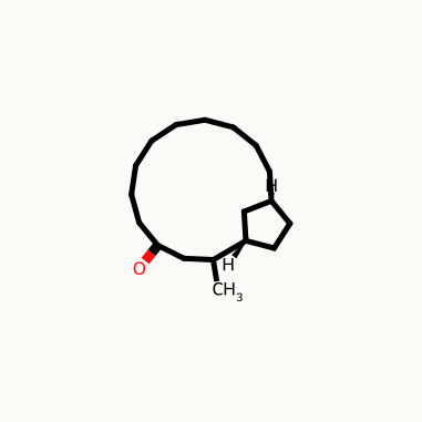 CC1CC(=O)CCCCCCCCC[C@@H]2CC[C@H]1C2